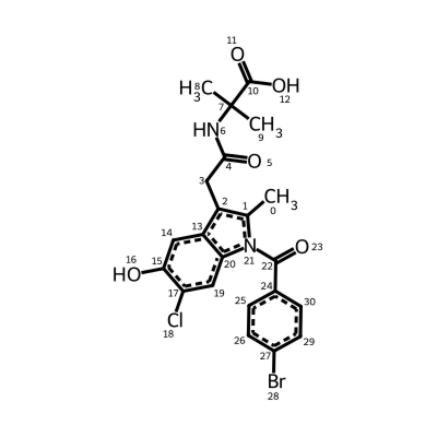 Cc1c(CC(=O)NC(C)(C)C(=O)O)c2cc(O)c(Cl)cc2n1C(=O)c1ccc(Br)cc1